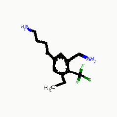 CCc1cc(CCCCN)cc(CN)c1C(F)(F)F